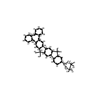 CC1(C)c2cc(B3OC(C)(C)C(C)(C)O3)ccc2-c2cc3c(cc21)-c1cc2c4ccccc4c4ccccc4c2cc1C3(C)C